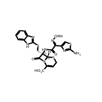 CON=C(C(=O)N[C@]1(CSc2nc3ccccc3[nH]2)C(=O)N2C(C(=O)O)=CCS[C@H]21)c1csc(N)n1